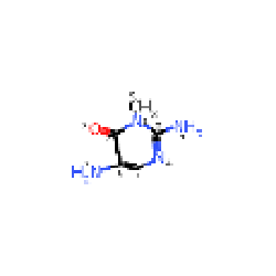 Cn1c(N)ncc(N)c1=O